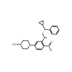 CN1CCN(c2ccc([N+](=O)[O-])c(NC[C@@H](c3ccccc3)C3CC3)c2)CC1